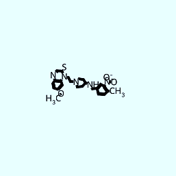 COc1ccc2ncc(=S)n(CCN3CCC(NCc4ccc(C)c([N+](=O)[O-])c4)CC3)c2c1